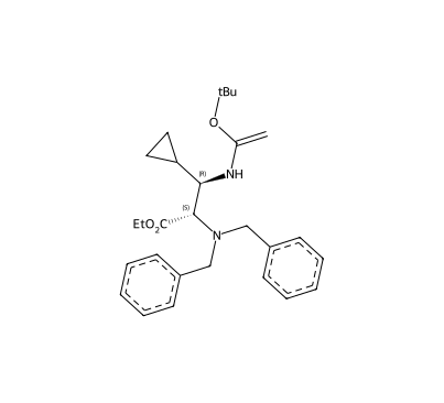 C=C(N[C@H](C1CC1)[C@@H](C(=O)OCC)N(Cc1ccccc1)Cc1ccccc1)OC(C)(C)C